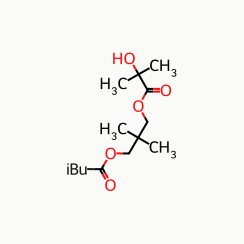 CCC(C)C(=O)OCC(C)(C)COC(=O)C(C)(C)O